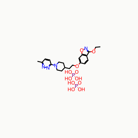 CCOc1noc2cc(OCCC3CCN(c4ccc(C)nn4)CC3)ccc12.O=P(O)(O)O.O=P(O)(O)O